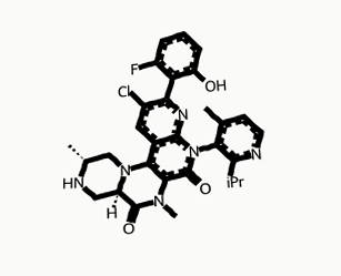 Cc1ccnc(C(C)C)c1-n1c(=O)c2c(c3cc(Cl)c(-c4c(O)cccc4F)nc31)N1C[C@@H](C)NC[C@@H]1C(=O)N2C